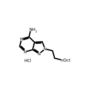 CCCCCCCCCCn1cc2c(N)ncnc2n1.Cl